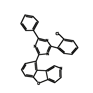 Clc1ccccc1-c1nc(-c2ccccc2)nc(-c2cccc3oc4ccncc4c23)n1